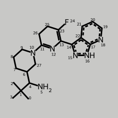 CC(C)(C)C(N)C1CCCN(C2=NC(c3n[nH]c4ncccc34)=C(F)CC2)C1